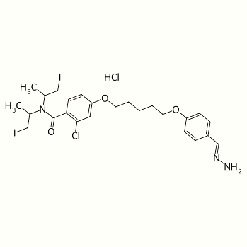 CC(CI)N(C(=O)c1ccc(OCCCCCOc2ccc(C=NN)cc2)cc1Cl)C(C)CI.Cl